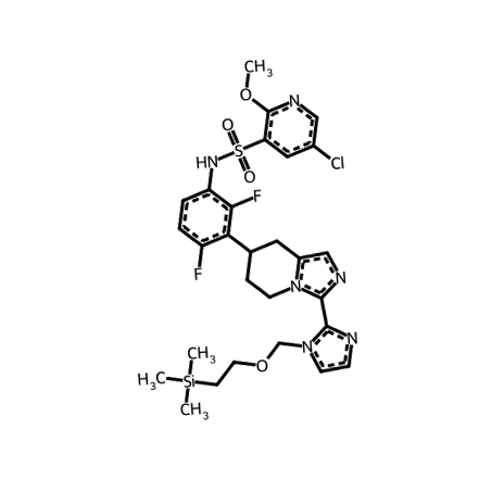 COc1ncc(Cl)cc1S(=O)(=O)Nc1ccc(F)c(C2CCn3c(cnc3-c3nccn3COCC[Si](C)(C)C)C2)c1F